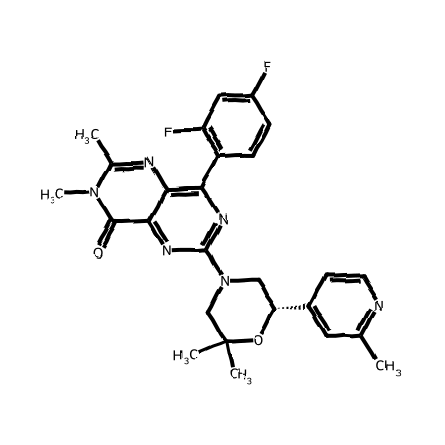 Cc1cc([C@H]2CN(c3nc(-c4ccc(F)cc4F)c4nc(C)n(C)c(=O)c4n3)CC(C)(C)O2)ccn1